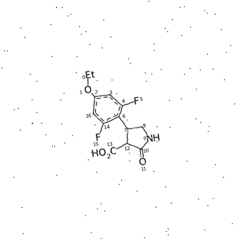 CCOc1cc(F)c(C2CNC(=O)C2C(=O)O)c(F)c1